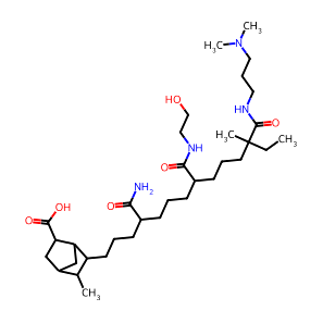 CCC(C)(CCCC(CCCC(CCCC1C(C)C2CC(C(=O)O)C1C2)C(N)=O)C(=O)NCCO)C(=O)NCCCN(C)C